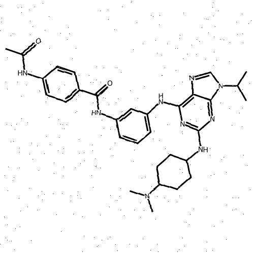 CC(=O)Nc1ccc(C(=O)Nc2cccc(Nc3nc(NC4CCC(N(C)C)CC4)nc4c3ncn4C(C)C)c2)cc1